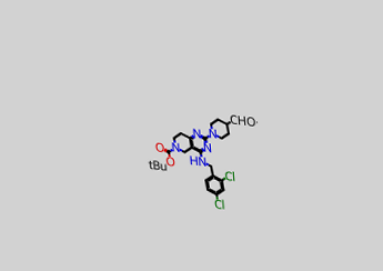 CC(C)(C)OC(=O)N1CCc2nc(N3CCC([C]=O)CC3)nc(NCc3ccc(Cl)cc3Cl)c2C1